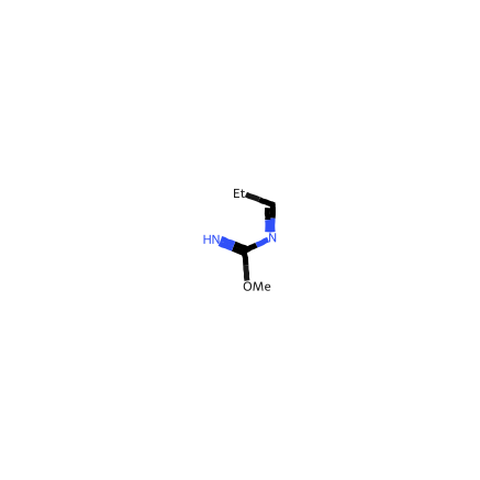 CC/C=N\C(=N)OC